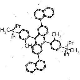 Cc1cc([Si](C)(C(C)C)C(C)C)ccc1-c1c2ccc(-c3cccc4ccccc34)cc2c(-c2ccc([Si](C)(C(C)C)C(C)C)cc2C)c2ccc(-c3cccc4ccccc34)cc12